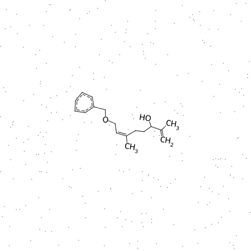 C=C(C)C(O)CCC(C)=CCOCc1ccccc1